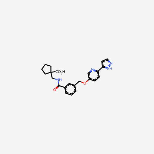 O=C(NCC1(C(=O)O)CCCC1)c1cccc(COc2ccc(-c3ccn[nH]3)nc2)c1